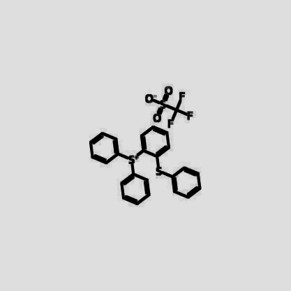 O=S(=O)([O-])C(F)(F)F.c1ccc(Sc2ccccc2[S+](c2ccccc2)c2ccccc2)cc1